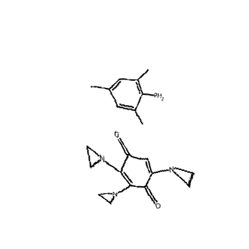 Cc1cc(C)c(P)c(C)c1.O=C1C=C(N2CC2)C(=O)C(N2CC2)=C1N1CC1